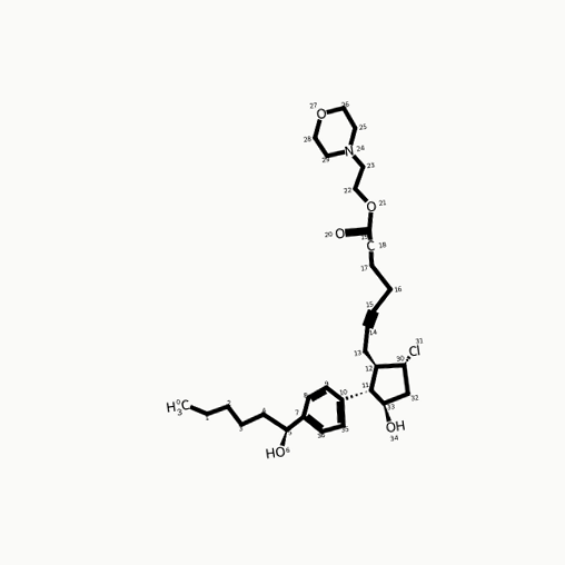 CCCCC[C@H](O)c1ccc([C@@H]2[C@@H](CC#CCCCC(=O)OCCN3CCOCC3)[C@H](Cl)C[C@H]2O)cc1